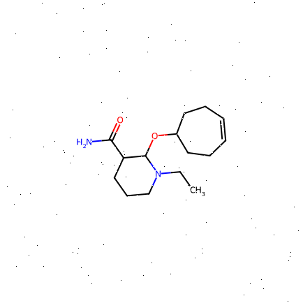 CCN1CCCC(C(N)=O)C1OC1CCC=CCC1